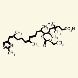 CC(C=CCC(C)C(OC(=O)OCC(Cl)(Cl)Cl)C(C)CC(C)(C)CCC(=O)O)=CCCC(C)=Cc1csc(C)n1